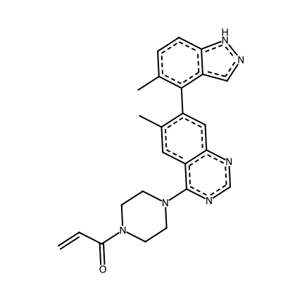 C=CC(=O)N1CCN(c2ncnc3cc(-c4c(C)ccc5[nH]ncc45)c(C)cc23)CC1